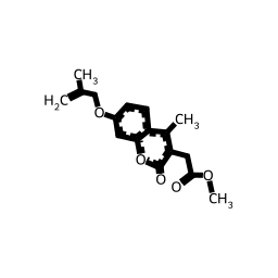 C=C(C)COc1ccc2c(C)c(CC(=O)OC)c(=O)oc2c1